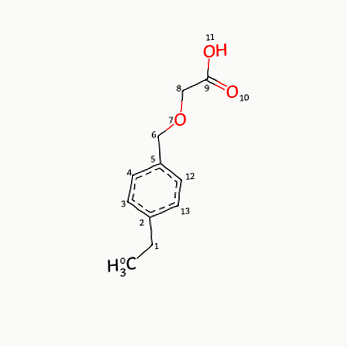 CCc1ccc(COCC(=O)O)cc1